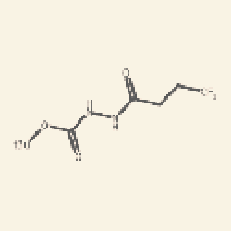 CC(C)(C)OC(=O)NNC(=O)CCC(F)(F)F